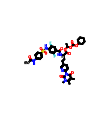 Cc1c(C)n(C)c(=O)n(-c2ccc(CC[C@H](NC(=O)c3cc(F)c(NS(=O)(=O)c4ccc(NC(=O)C(C)(C)C)cc4)cc3F)C(=O)OC(C)OC(=O)OC3CCCCC3)cn2)c1=O